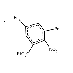 CCOC(=O)c1cc(Br)cc(Br)c1[N+](=O)[O-]